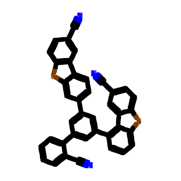 N#Cc1ccc2sc3cc(-c4cc(-c5ccccc5C#N)cc(-c5cccc6sc7ccc(C#N)cc7c56)c4)ccc3c2c1